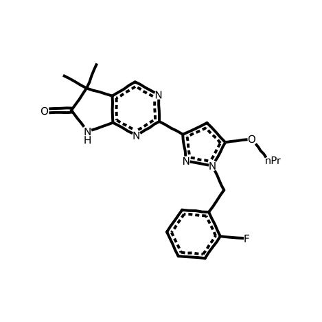 CCCOc1cc(-c2ncc3c(n2)NC(=O)C3(C)C)nn1Cc1ccccc1F